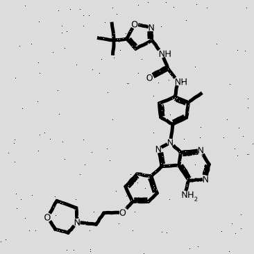 Cc1cc(-n2nc(-c3ccc(OCCN4CCOCC4)cc3)c3c(N)ncnc32)ccc1NC(=O)Nc1cc(C(C)(C)C)on1